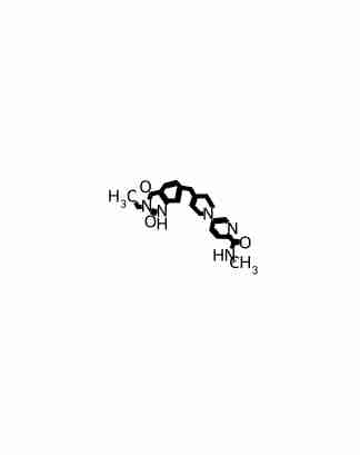 CCn1c(=O)[nH]c2cc(CC3=CCN(c4ccc(C(=O)NC)nc4)CC3)ccc2c1=O